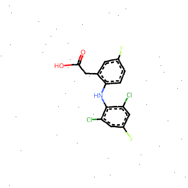 O=C(O)Cc1cc(F)ccc1Nc1c(Cl)cc(F)cc1Cl